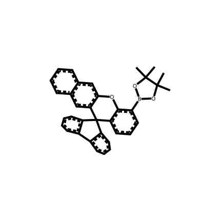 CC1(C)OB(c2cccc3c2Oc2cc4ccccc4cc2C32c3ccccc3-c3ccccc32)OC1(C)C